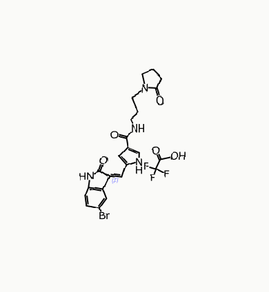 O=C(O)C(F)(F)F.O=C1Nc2ccc(Br)cc2/C1=C/c1cc(C(=O)NCCCN2CCCC2=O)c[nH]1